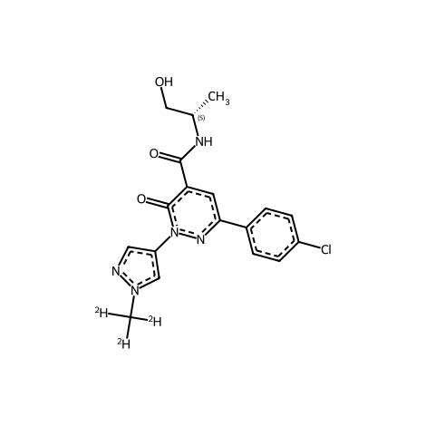 [2H]C([2H])([2H])n1cc(-n2nc(-c3ccc(Cl)cc3)cc(C(=O)N[C@@H](C)CO)c2=O)cn1